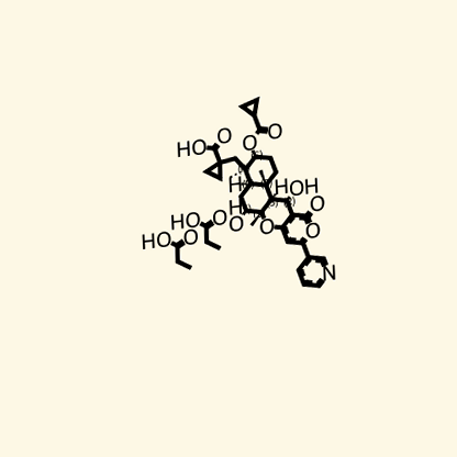 CCC(=O)O.CCC(=O)O.C[C@]12CC[C@H](OC(=O)C3CC3)[C@](C)(CC3(C(=O)O)CC3)[C@@H]1C[C@H](O)[C@@]1(C)Oc3cc(-c4cccnc4)oc(=O)c3[C@H](O)[C@H]21